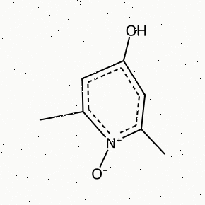 Cc1cc(O)cc(C)[n+]1[O-]